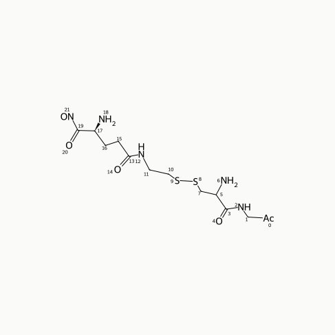 CC(=O)CNC(=O)C(N)CSSCCNC(=O)CC[C@H](N)C(=O)N=O